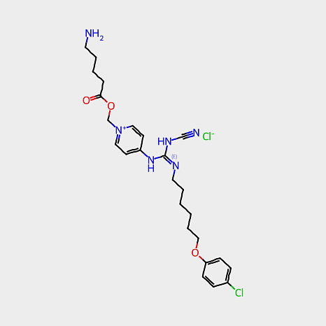 N#CN/C(=N/CCCCCCOc1ccc(Cl)cc1)Nc1cc[n+](COC(=O)CCCCN)cc1.[Cl-]